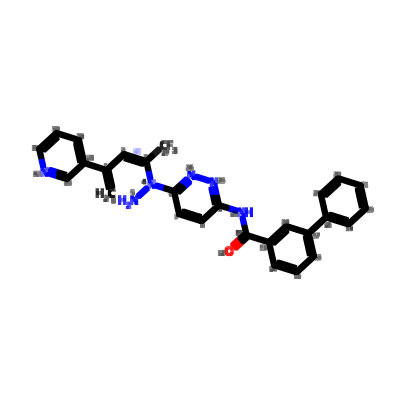 C=C(/C=C(\N(N)c1ccc(NC(=O)c2cccc(-c3ccccc3)c2)nn1)C(F)(F)F)c1cccnc1